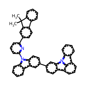 CC1(C)c2ccccc2-c2ccc(-c3cccc(-n4c5ccccc5c5cc(-c6ccc7c8cccc9c%10ccccc%10n(c7c6)c98)ccc54)n3)cc21